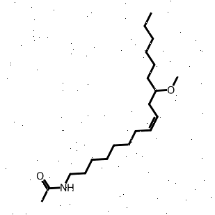 CCCCCCC(C/C=C\CCCCCCCNC(C)=O)OC